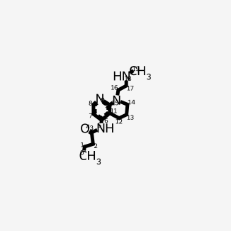 CCCC(=O)Nc1ccnc2c1CCCN2CCNC